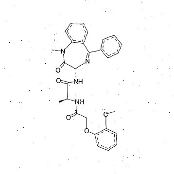 COc1ccccc1OCC(=O)N[C@@H](C)C(=O)N[C@H]1N=C(c2ccccc2)c2ccccc2N(C)C1=O